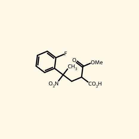 COC(=O)C(CC(C)(c1ccccc1F)[N+](=O)[O-])C(=O)O